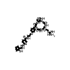 CC(C)[C@H]1NC(=O)C(CCCNC(=N)N)NC(=O)CNC(=O)C(CC(=O)O)NC(=O)[C@@H](Cc2ccc(OCCCNC(=O)c3ccc(NN=Cc4ccccc4S)nc3)cc2)NC1=O